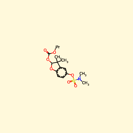 CC(C)OC(=O)OC1Oc2ccc(OS(=O)(=O)N(C)C)cc2C1(C)C